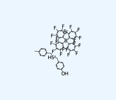 Cc1ccc(C[SH+]Cc2ccc(O)cc2)cc1.Fc1c(F)c(F)c([B-](c2c(F)c(F)c(F)c(F)c2F)(c2c(F)c(F)c(F)c(F)c2F)c2c(F)c(F)c(F)c(F)c2F)c(F)c1F